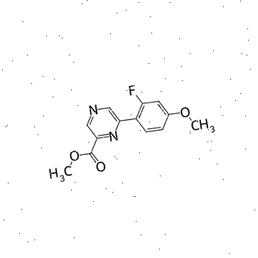 COC(=O)c1cncc(-c2ccc(OC)cc2F)n1